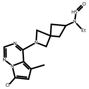 CCN([SH]=O)C1CC2(C1)CN(c1ncnn3c(Cl)cc(C)c13)C2